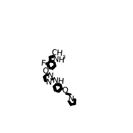 Cc1cc2c(F)c(Oc3ccnc(Nc4cccc(OCCN5CCCC5)c4)n3)ccc2[nH]1